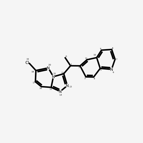 CC(c1ccc2ncccc2c1)c1nnc2ccc(Cl)nn12